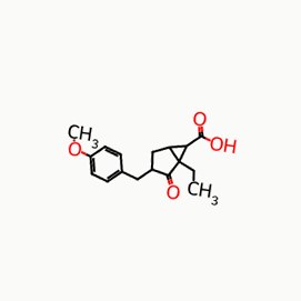 CCC12C(=O)C(Cc3ccc(OC)cc3)CC1C2C(=O)O